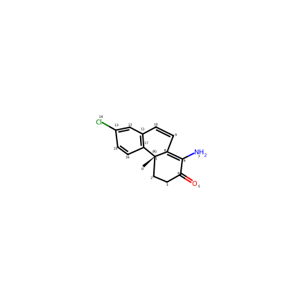 C[C@]12CCC(=O)C(N)=C1C=Cc1cc(Cl)ccc12